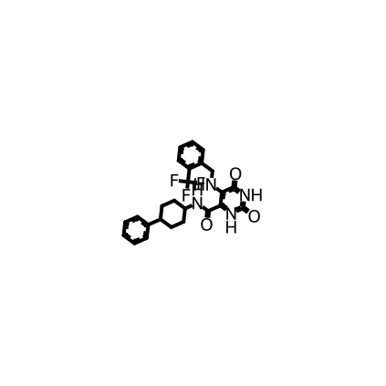 O=C(NC1CCC(c2ccccc2)CC1)c1[nH]c(=O)[nH]c(=O)c1NCc1ccccc1C(F)(F)F